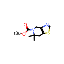 CC(C)(C)OC(=O)N1Cc2ncsc2CC1(C)C